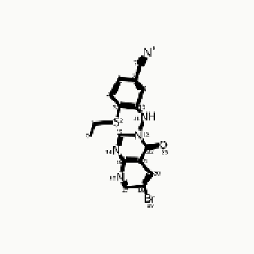 CCSc1ccc(C#N)cc1Nn1cnc2ncc(Br)cc2c1=O